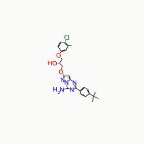 Cc1cc(OCC(O)COc2cc3nc(-c4ccc(C(C)(C)C)cc4)nc(N)n3n2)ccc1Cl